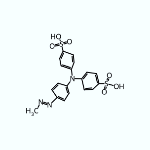 CN=Nc1ccc(N(c2ccc(S(=O)(=O)O)cc2)c2ccc(S(=O)(=O)O)cc2)cc1